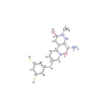 Cn1nc(C(N)=O)c(-c2ccc(Cc3cc(F)cc(F)c3)cn2)cc1=O